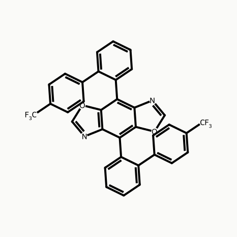 FC(F)(F)c1ccc(-c2ccccc2-c2c3ncoc3c(-c3ccccc3-c3ccc(C(F)(F)F)cc3)c3ncoc23)cc1